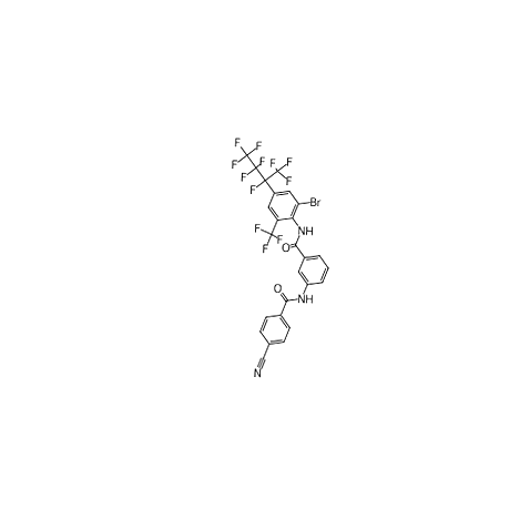 N#Cc1ccc(C(=O)Nc2cccc(C(=O)Nc3c(Br)cc(C(F)(C(F)(F)F)C(F)(F)C(F)(F)F)cc3C(F)(F)F)c2)cc1